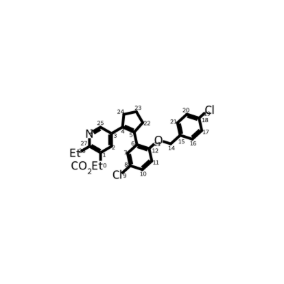 CCOC(=O)c1cc(C2=C(c3cc(Cl)ccc3OCc3ccc(Cl)cc3)CCC2)cnc1CC